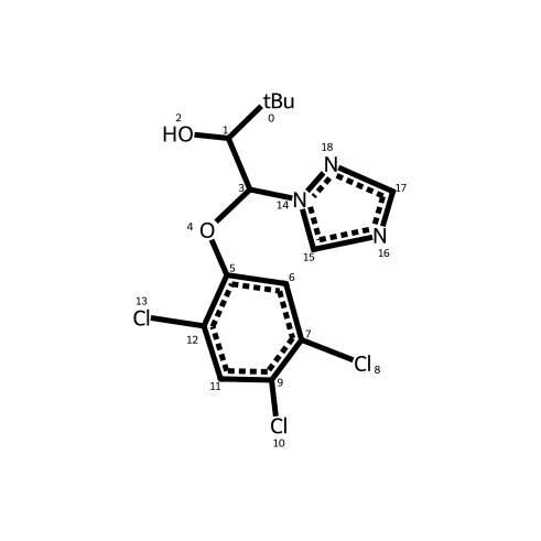 CC(C)(C)C(O)C(Oc1cc(Cl)c(Cl)cc1Cl)n1cncn1